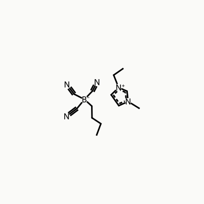 CCCC[B-](C#N)(C#N)C#N.CC[n+]1ccn(C)c1